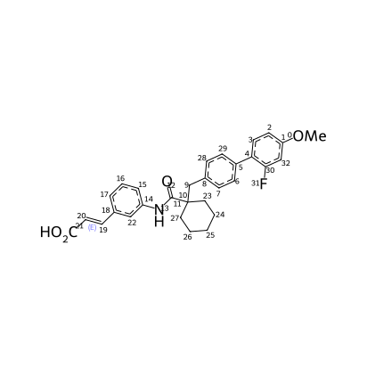 COc1ccc(-c2ccc(CC3(C(=O)Nc4cccc(/C=C/C(=O)O)c4)CCCCC3)cc2)c(F)c1